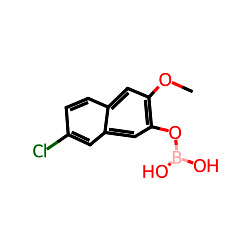 COc1cc2ccc(Cl)cc2cc1OB(O)O